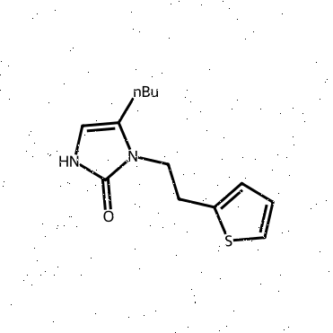 CCCCc1c[nH]c(=O)n1CCc1cccs1